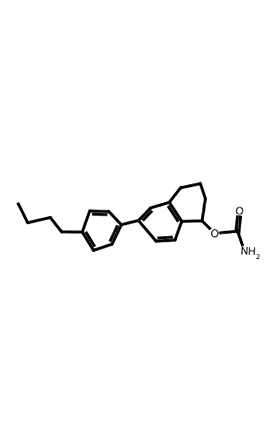 CCCCc1ccc(-c2ccc3c(c2)CCCC3OC(N)=O)cc1